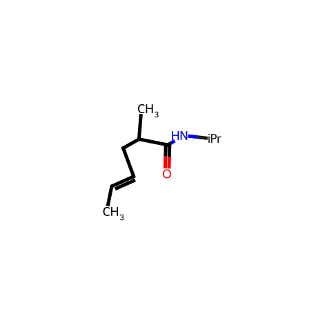 C/C=C/CC(C)C(=O)NC(C)C